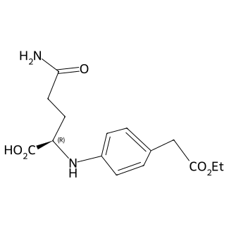 CCOC(=O)Cc1ccc(N[C@H](CCC(N)=O)C(=O)O)cc1